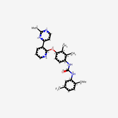 CNc1nccc(-c2cccnc2Oc2ccc(NC(=O)Nc3cc(C(F)(F)F)ccc3OC)c(C)c2C)n1